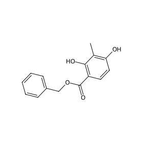 Cc1c(O)ccc(C(=O)OCc2ccccc2)c1O